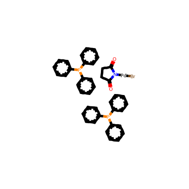 O=C1CCC(=O)[N]1[Pd][Br].c1ccc(P(c2ccccc2)c2ccccc2)cc1.c1ccc(P(c2ccccc2)c2ccccc2)cc1